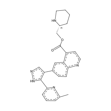 Cc1cccc(-c2[nH]ncc2-c2ccc3nccc(C(=O)OC[C@H]4CCCCN4)c3c2)n1